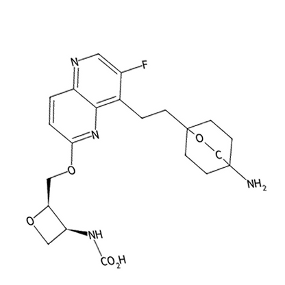 NC12CCC(CCc3c(F)cnc4ccc(OC[C@@H]5OC[C@@H]5NC(=O)O)nc34)(CC1)OC2